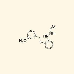 C[n+]1cccc(CSc2ccccc2NNC=O)c1